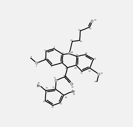 COc1ccc2c(c1)C(C(=O)Oc1c(Br)cccc1Br)c1cc(OC)ccc1N2CCCC=O